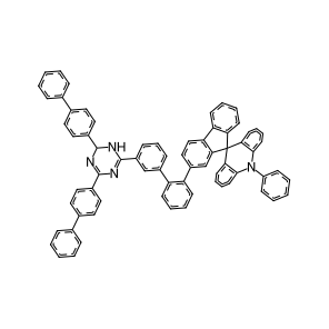 c1ccc(-c2ccc(C3=NC(c4ccc(-c5ccccc5)cc4)NC(c4cccc(-c5ccccc5-c5ccc6c(c5)C5(c7ccccc7-6)c6ccccc6N(c6ccccc6)c6ccccc65)c4)=N3)cc2)cc1